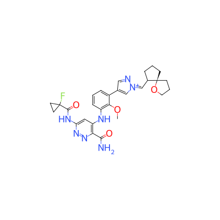 COc1c(Nc2cc(NC(=O)C3(F)CC3)nnc2C(N)=O)cccc1C1=C/[N+](=C/C2CCC[C@]23CCCO3)N=C1